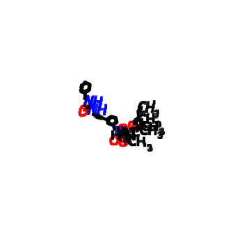 CCCC[Si](OC[C@H]1ON(Cc2cccc(C#CCNC(=O)NCc3ccccc3)c2)[C@H]2C(=O)O[C@H](C)[C@@H]12)(C(C)C)C(C)C